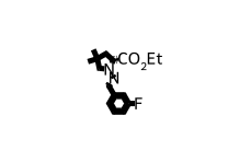 CCOC(=O)[C@@H]1CC(C)(C)CN1N=Cc1cccc(F)c1